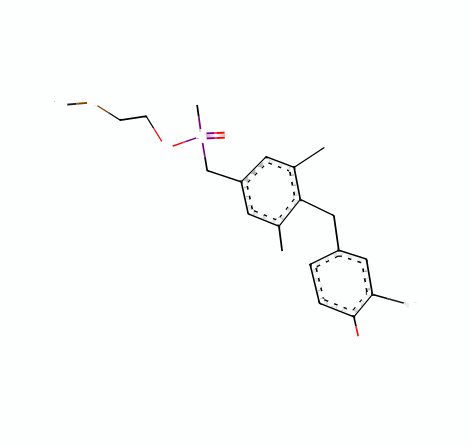 CC(=O)SCCOP(C)(=O)Cc1cc(C)c(Cc2ccc(O)c(C(C)C)c2)c(C)c1